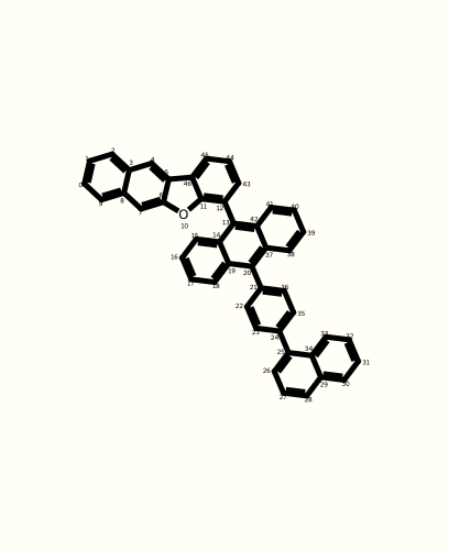 c1ccc2cc3c(cc2c1)oc1c(-c2c4ccccc4c(-c4ccc(-c5cccc6ccccc56)cc4)c4ccccc24)cccc13